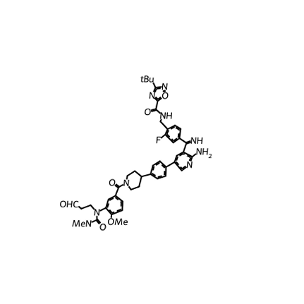 CNC(=O)N(CCC=O)c1cc(C(=O)N2CCC(c3ccc(-c4cnc(N)c(C(=N)c5ccc(CNC(=O)c6nc(C(C)(C)C)no6)c(F)c5)c4)cc3)CC2)ccc1OC